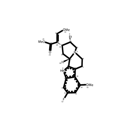 CC[C@@H]1CN2CCc3c([nH]c4cc(F)cc(OC)c34)[C@@H]2C[C@@H]1/C(=C\OC)C(=O)OC